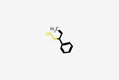 C=CC(SS)c1ccccc1